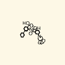 O=C(Nc1cc(-c2ccccc2)ccc1C(=O)O)c1cc(N2CCC3(CC2)OCCO3)ccc1O